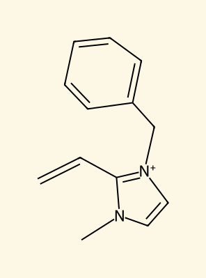 C=Cc1n(C)cc[n+]1Cc1ccccc1